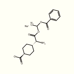 CC(OC(=O)c1ccccc1)OC(=O)C(N)[C@H]1CC[C@H](C(=O)[O-])CC1.[Na+]